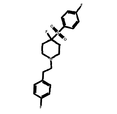 O=S(=O)(c1ccc(F)cc1)C1(F)CCN(CCc2ccc(F)cc2)CC1